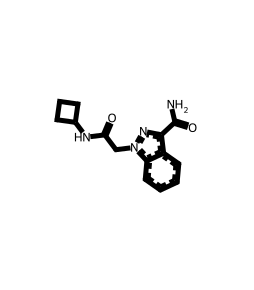 NC(=O)c1nn(CC(=O)NC2CCC2)c2ccccc12